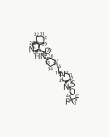 CC(F)(F)COc1nc2c(s1)CCN(CC[C@H]1CC[C@H](NC(=O)c3cncc4c3CCCC4)CC1)C2